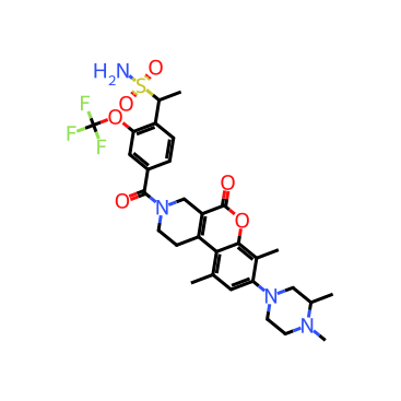 Cc1c(N2CCN(C)C(C)C2)cc(C)c2c3c(c(=O)oc12)CN(C(=O)c1ccc(C(C)S(N)(=O)=O)c(OC(F)(F)F)c1)CC3